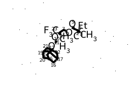 CCC(C)(C)C(=O)OCC(C)(OCOC12CC3CC(CC(C3)C1)C2)C(F)(F)F